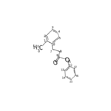 Cc1ccccc1CCC(=O)Oc1ccccc1